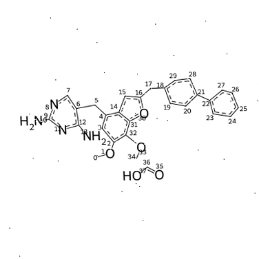 COc1cc(Cc2cnc(N)nc2N)c2cc(Cc3ccc(-c4ccccc4)cc3)oc2c1OC.O=CO